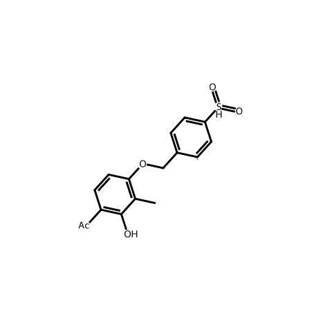 CC(=O)c1ccc(OCc2[c]cc([SH](=O)=O)cc2)c(C)c1O